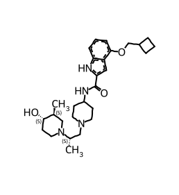 C[C@H]1CN([C@@H](C)CN2CCC(NC(=O)c3cc4c(OCC5CCC5)cccc4[nH]3)CC2)CC[C@@H]1O